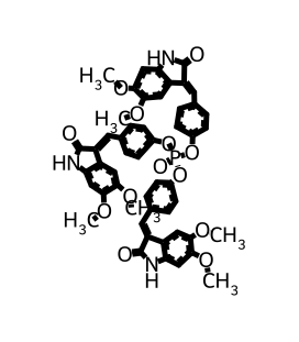 COc1cc2c(cc1OC)/C(=C\c1ccc(OP(=O)(Oc3ccc(/C=C4/C(=O)Nc5cc(OC)c(OC)cc54)cc3)Oc3ccc(/C=C4/C(=O)Nc5cc(OC)c(OC)cc54)cc3)cc1)C(=O)N2